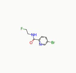 O=C(NCCF)c1ccc(Br)cn1